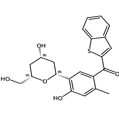 Cc1cc(O)c([C@H]2C[C@@H](O)C[C@@H](CO)O2)cc1C(=O)c1cc2ccccc2s1